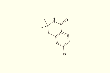 CC1(C)Cc2cc(Br)ccc2C(=O)N1